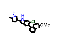 C=C(/C=C\c1c(C)cccc1-c1cc2cc(C3=CNC(C)C=C3)[nH]c2cc1Cl)OC